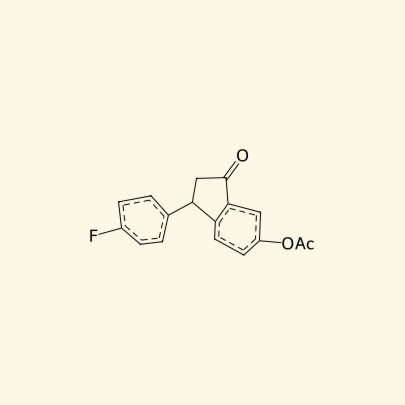 CC(=O)Oc1ccc2c(c1)C(=O)CC2c1ccc(F)cc1